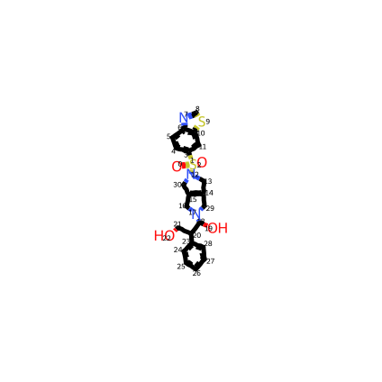 O=S(=O)(c1ccc2ncsc2c1)N1CC2=C(CN(C(O)C(CO)c3ccccc3)C2)C1